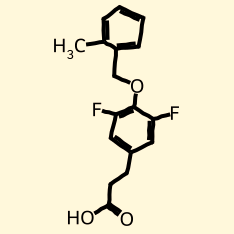 Cc1ccccc1COc1c(F)cc(CCC(=O)O)cc1F